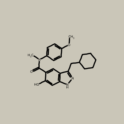 COc1ccc(N(C)C(=O)c2cc3c(CC4CCCCC4)n[nH]c3cc2O)cc1